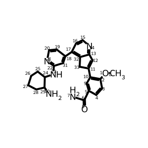 COc1ccc(C(N)=O)cc1C1=Cc2nccc(-c3ccnc(NC4CCCCC4N)c3)c2C1